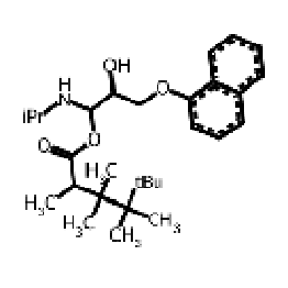 CC(C)NC(OC(=O)C(C)C(C)(C)C(C)(C)C(C)(C)C)C(O)COc1cccc2ccccc12